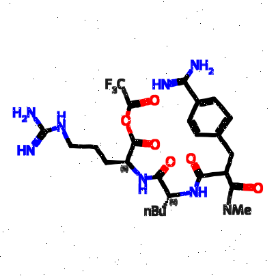 CCCC[C@@H](NC(=O)C(Cc1ccc(C(=N)N)cc1)C(=O)NC)C(=O)N[C@@H](CCCNC(=N)N)C(=O)OC(=O)C(F)(F)F